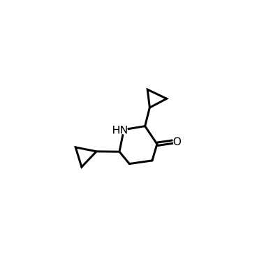 O=C1CCC(C2CC2)NC1C1CC1